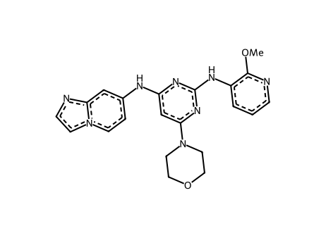 COc1ncccc1Nc1nc(Nc2ccn3ccnc3c2)cc(N2CCOCC2)n1